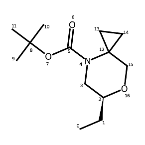 CC[C@H]1CN(C(=O)OC(C)(C)C)C2(CC2)CO1